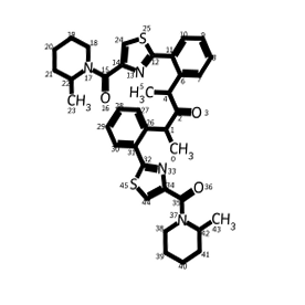 CC(C(=O)C(C)c1ccccc1-c1nc(C(=O)N2CCCCC2C)cs1)c1ccccc1-c1nc(C(=O)N2CCCCC2C)cs1